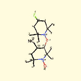 CC1(C)CC(F)CC(C)(C)N1OC1C(C#N)CC(C)(C)N([O])C1(C)C